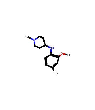 CCOc1cc(C)ccc1NC1CCN(C(C)=O)CC1